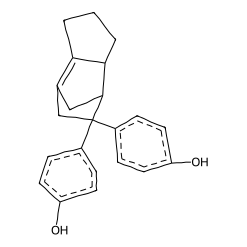 Oc1ccc(C2(c3ccc(O)cc3)CC3=C4CCCC4C2C3)cc1